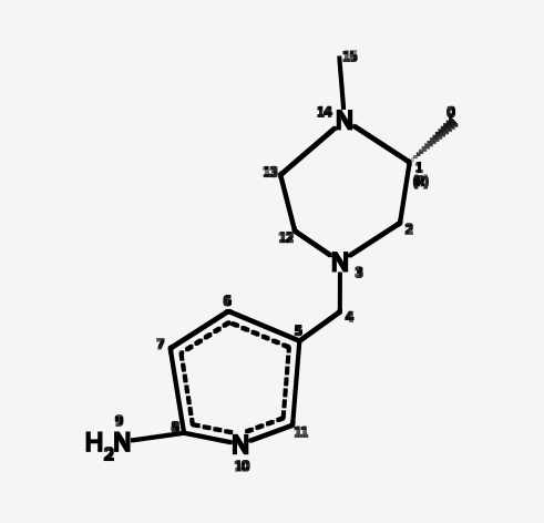 C[C@@H]1CN(Cc2ccc(N)nc2)CCN1C